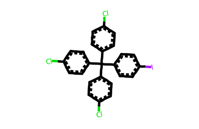 Clc1ccc(C(c2ccc(Cl)cc2)(c2ccc(Cl)cc2)c2ccc(I)cc2)cc1